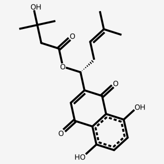 CC(C)=CC[C@@H](OC(=O)CC(C)(C)O)C1=CC(=O)c2c(O)ccc(O)c2C1=O